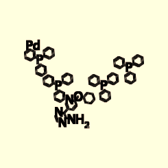 Nc1nccnc1-c1ccc(OC2CCCCC2)nc1.[Pd].c1ccc(P(c2ccccc2)c2ccccc2)cc1.c1ccc(P(c2ccccc2)c2ccccc2)cc1.c1ccc(P(c2ccccc2)c2ccccc2)cc1.c1ccc(P(c2ccccc2)c2ccccc2)cc1